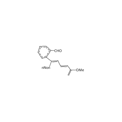 C=C(C=CC=C(CCCCCCCCC)c1ccccc1C=O)OC